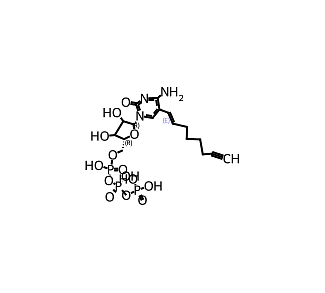 C#CCCCC/C=C/c1cn([C@@H]2O[C@H](COP(=O)(O)OP(=O)(O)OP(=O)(O)O)C(O)C2O)c(=O)nc1N